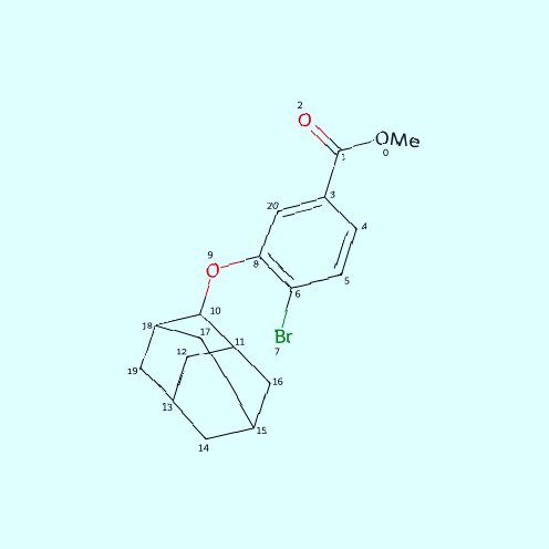 COC(=O)c1ccc(Br)c(OC2C3CC4CC(C3)CC2C4)c1